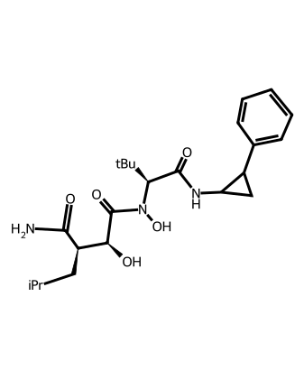 CC(C)C[C@@H](C(N)=O)[C@H](O)C(=O)N(O)[C@H](C(=O)NC1CC1c1ccccc1)C(C)(C)C